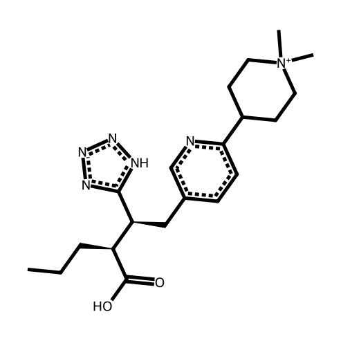 CCC[C@H](C(=O)O)[C@H](Cc1ccc(C2CC[N+](C)(C)CC2)nc1)c1nnn[nH]1